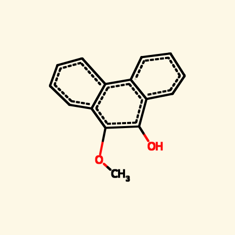 COc1c(O)c2ccccc2c2ccccc12